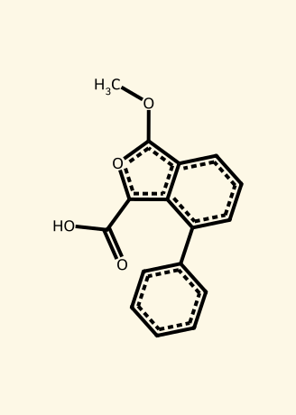 COc1oc(C(=O)O)c2c(-c3ccccc3)cccc12